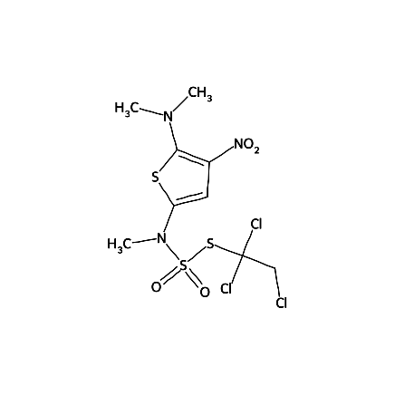 CN(C)c1sc(N(C)S(=O)(=O)SC(Cl)(Cl)CCl)cc1[N+](=O)[O-]